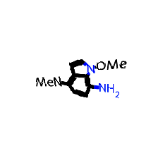 CNc1ccc(N)c2c1ccn2OC